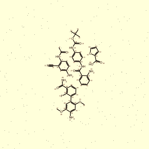 CC(=O)Nc1ccc(N)cc1C#N.CC(C)(C)OC(=O)Nc1ccc(NC(=O)c2ccccc2N)cc1.COc1cc(-c2cccc(C(N)=O)c2F)c(OC)cc1N.O=C(O)c1ccco1